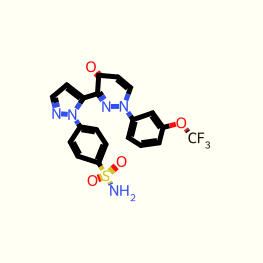 NS(=O)(=O)c1ccc(-n2nccc2-c2nn(-c3cccc(OC(F)(F)F)c3)ccc2=O)cc1